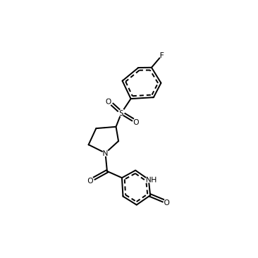 O=C(c1ccc(=O)[nH]c1)N1CCC(S(=O)(=O)c2ccc(F)cc2)C1